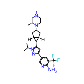 CC(C)n1nc(-c2cnc(N)c(C(F)(F)F)c2)cc1[C@H]1[C@@H]2C[C@H](N3CCN(C)C[C@@H]3C)C[C@@H]21